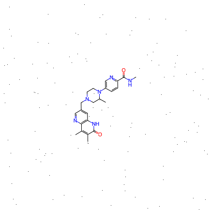 CNC(=O)c1ccc(N2CCN(Cc3cnc4c(C)c(C)c(=O)[nH]c4c3)CC2C)cn1